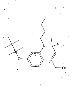 CCCCN1c2cc(O[Si](C)(C)C(C)(C)C)ccc2C(CO)=CC1(C)C